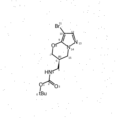 CC(C)(C)OC(=O)NC[C@H]1COc2c(Br)cnn2C1